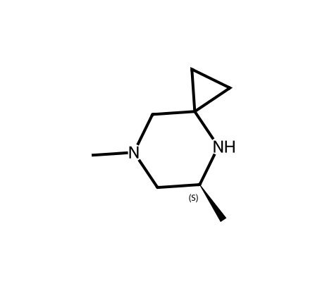 C[C@H]1CN(C)CC2(CC2)N1